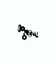 CCCCNC(=O)Oc1cc(-c2ccc(OC)c(OC)c2)n(CC2CCCCC2)c1C